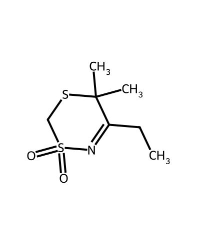 CCC1=NS(=O)(=O)CSC1(C)C